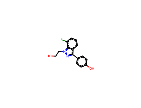 OCCn1nc(-c2ccc(O)cc2)c2cccc(F)c21